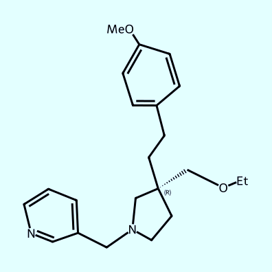 CCOC[C@]1(CCc2ccc(OC)cc2)CCN(Cc2cccnc2)C1